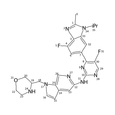 Cc1nc2c(F)cc(-c3nc(Nc4cc5ccn(CC6COCCN6)c5cn4)ncc3F)cc2n1C(C)C